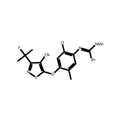 CNC(=Nc1cc(C)c(Oc2snc(C(C)(C)F)c2C#N)cc1Cl)C(C)C